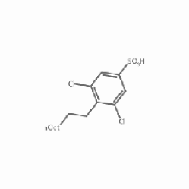 CCCCCCCCCCc1c(Cl)cc(S(=O)(=O)O)cc1Cl